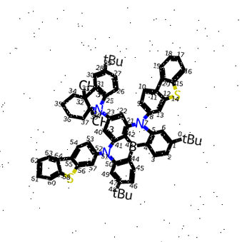 CC(C)(C)c1ccc2c(c1)N(c1ccc3c(c1)sc1ccccc13)c1cc(N3c4ccc(C(C)(C)C)cc4C4(C)CCCCC34C)cc3c1B2c1ccc(C(C)(C)C)cc1N3c1ccc2c(c1)sc1ccccc12